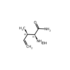 C=C[C@@H](C)[C@H](N)C(N)=O.Cl